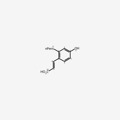 CCCCCc1cc(O)ccc1/C=C/C(=O)O